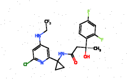 C[C@](O)(CC(=O)NC1(c2cc(NCC(F)(F)F)cc(Cl)n2)CC1)c1ccc(F)cc1F